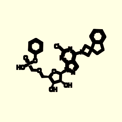 O=P(O)(COC[C@H]1O[C@@H](n2ncc3c(N4CC5(CCc6ccccc65)C4)nc(Cl)nc32)[C@H](O)[C@@H]1O)Oc1ccccc1